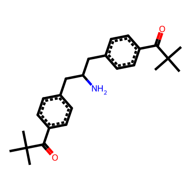 CC(C)(C)C(=O)c1ccc(CC(N)Cc2ccc(C(=O)C(C)(C)C)cc2)cc1